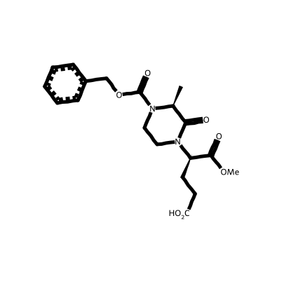 COC(=O)[C@@H](CCC(=O)O)N1CCN(C(=O)OCc2ccccc2)[C@@H](C)C1=O